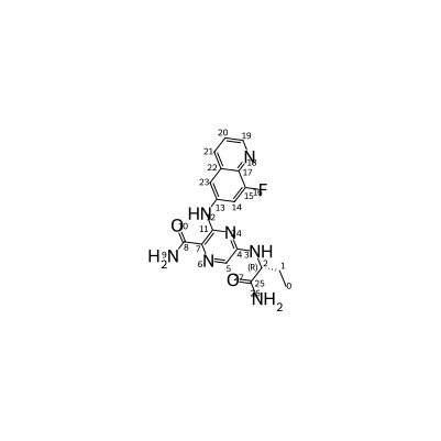 CC[C@@H](Nc1cnc(C(N)=O)c(Nc2cc(F)c3ncccc3c2)n1)C(N)=O